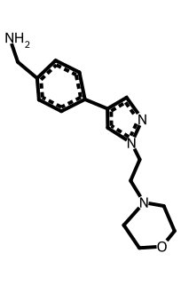 NCc1ccc(-c2cnn(CCN3CCOCC3)c2)cc1